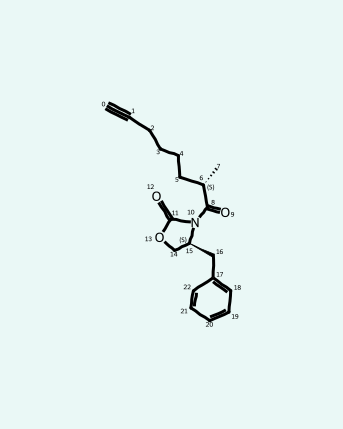 C#CCCCC[C@H](C)C(=O)N1C(=O)OC[C@@H]1Cc1ccccc1